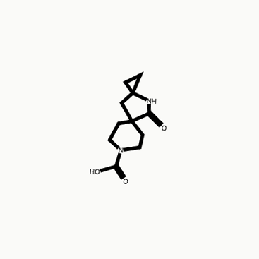 O=C(O)N1CCC2(CC1)CC1(CC1)NC2=O